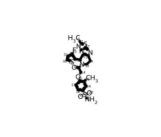 Cc1nn2c3c(nc2s1)CCN(C(=O)COc1ccc(S(N)(=O)=O)cc1C)C3c1sccc1F